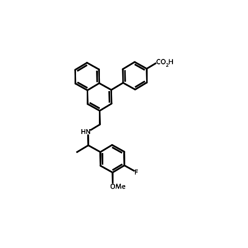 COc1cc(C(C)NCc2cc(-c3ccc(C(=O)O)cc3)c3ccccc3c2)ccc1F